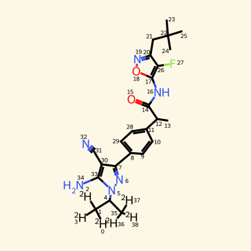 [2H]C([2H])([2H])C(n1nc(-c2ccc(C(C)C(=O)Nc3onc(CC(C)(C)C)c3F)cc2)c(C#N)c1N)C([2H])([2H])[2H]